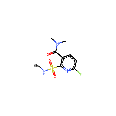 CN(C)C(=O)c1ccc(F)nc1S(=O)(=O)NC(C)(C)C